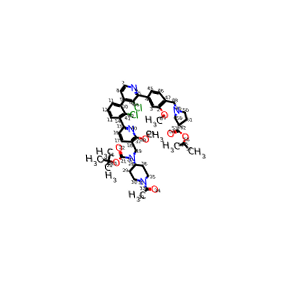 COc1cc(-c2nccc(-c3cccc(-c4ccc(CN(C(=O)OC(C)(C)C)C5CCN(C(C)=O)CC5)c(OC)n4)c3Cl)c2Cl)ccc1CN1CC[C@H](C(=O)OC(C)C)C1